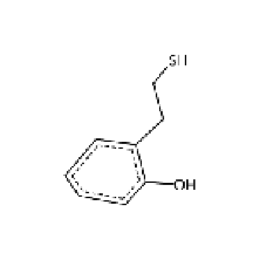 Oc1ccccc1CCS